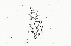 O=C(S[C@]12CCC[C@H]1C(=O)NC2=O)c1ccc(F)cc1